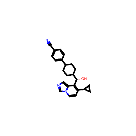 N#Cc1ccc(C2CCC([C@H](O)c3c(C4CC4)ccn4cncc34)CC2)cc1